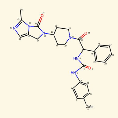 COc1ccc(NC(=O)NC(C(=O)N2CCC(N3Cc4cnc(C)n4C3=O)CC2)c2ccccc2)cc1